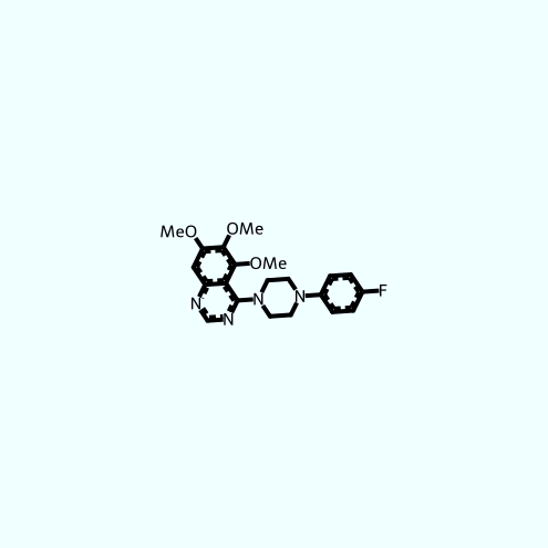 COc1cc2ncnc(N3CCN(c4ccc(F)cc4)CC3)c2c(OC)c1OC